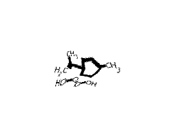 C=C(C)C1CC=C(C)CC1.OOOO